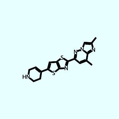 Cc1cn2nc(-c3nc4sc(C5=CCNCC5)cc4s3)cc(C)c2n1